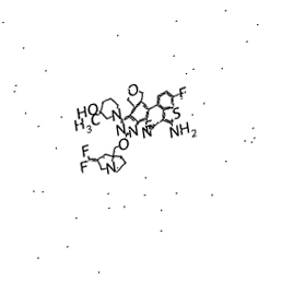 C[C@@]1(O)CCCN(c2nc(OCC34CCCN3CC(=C(F)F)C4)nc3c(F)c(-c4ccc(F)c5sc(N)c(C#N)c45)c4c(c23)COC4)C1